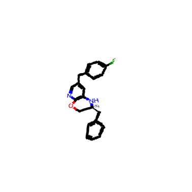 Fc1ccc(Cc2cnc3c(c2)N[C@@H](Cc2ccccc2)CO3)cc1